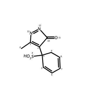 CC1=C(C2(S(=O)(=O)O)C=CC=CC2)C(=O)N=N1